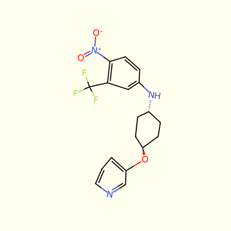 O=[N+]([O-])c1ccc(N[C@H]2CC[C@H](Oc3cccnc3)CC2)cc1C(F)(F)F